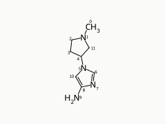 CN1CCC(n2cnc(N)c2)C1